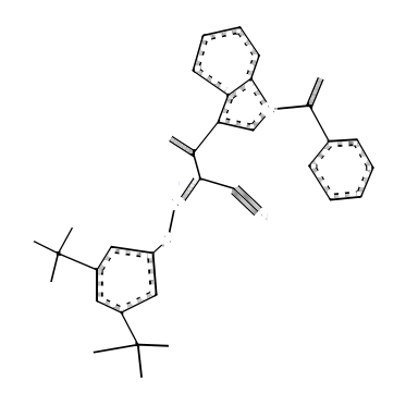 CC(C)(C)c1cc(N/N=C(\C#N)C(=O)c2cn(C(=O)c3ccccc3)c3ccccc23)cc(C(C)(C)C)c1